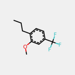 CCCc1ccc(C(F)(F)F)cc1OC